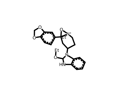 CCOC1Nc2ccccc2N1C1CC[N+]2(CC)OC2(c2ccc3c(c2)OCO3)C1